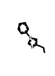 CCc1cn(-c2c[c]ccc2)cn1